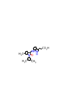 Cc1cc(C)cc(N2C(=O)/C(=C\Nc3cccc4c(CCC(=O)O)c[nH]c34)c3ccc(C)cc32)c1